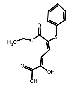 CCOC(=O)C(=CC=C(O)C(=O)O)Sc1ccccc1